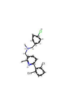 CCc1cccc(CC)c1-c1ccc(CN(C)Cc2ccc(Cl)cc2)c(C)n1